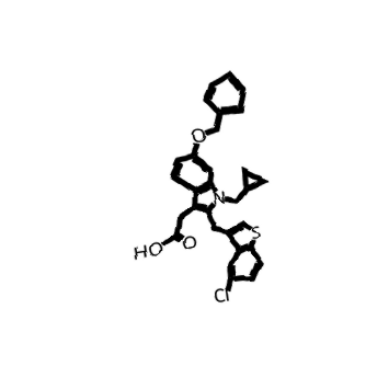 O=C(O)Cc1c(Cc2csc3ccc(Cl)cc23)n(CC2CC2)c2cc(OCc3ccccc3)ccc12